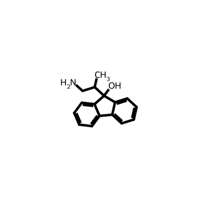 CC(CN)C1(O)c2ccccc2-c2ccccc21